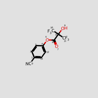 N#Cc1ccc(OC(=O)C(O)(C(F)(F)F)C(F)(F)F)cc1